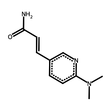 CN(C)c1ccc(C=CC(N)=O)cn1